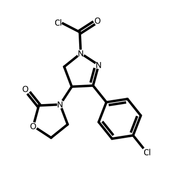 O=C(Cl)N1CC(N2CCOC2=O)C(c2ccc(Cl)cc2)=N1